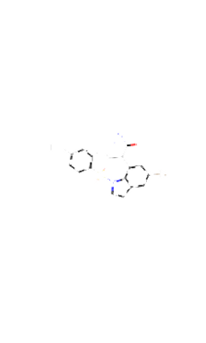 CCC(C(N)=O)c1cc(Br)cc2ccn(S(=O)(=O)c3ccc(C)cc3)c12